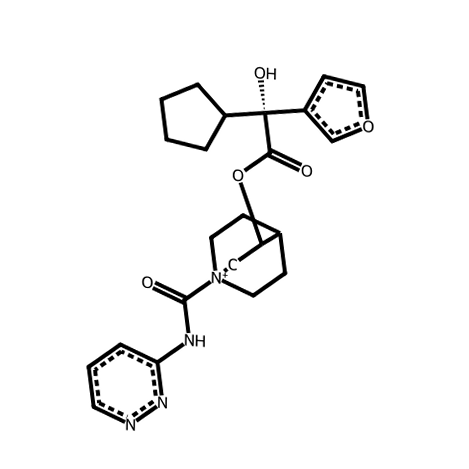 O=C(OC1C[N+]2(C(=O)Nc3cccnn3)CCC1CC2)[C@](O)(c1ccoc1)C1CCCC1